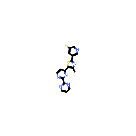 Cc1nc(-c2cncc(F)c2)sc1-c1ccnc(-c2ncccn2)n1